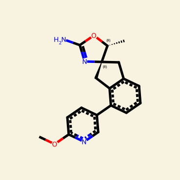 COc1ccc(-c2cccc3c2C[C@@]2(C3)N=C(N)O[C@@H]2C)cn1